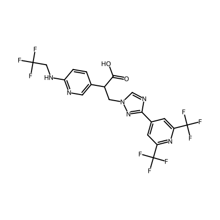 O=C(O)C(Cn1cnc(-c2cc(C(F)(F)F)nc(C(F)(F)F)c2)n1)c1ccc(NCC(F)(F)F)nc1